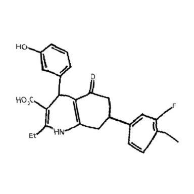 CCC1=C(C(=O)O)C(c2cccc(O)c2)C2=C(CC(c3ccc(C)c(F)c3)CC2=O)N1